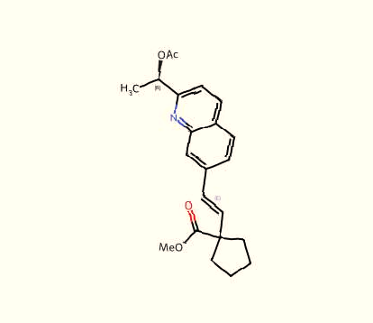 COC(=O)C1(/C=C/c2ccc3ccc([C@@H](C)OC(C)=O)nc3c2)CCCC1